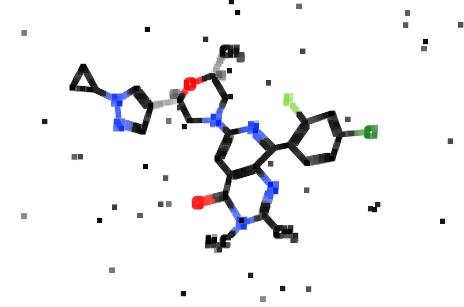 Cc1nc2c(-c3ccc(Cl)cc3F)nc(N3C[C@@H](C)O[C@@H](c4cnn(C5CC5)c4)C3)cc2c(=O)n1C